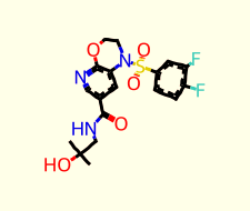 CC(C)(O)CNC(=O)c1cnc2c(c1)N(S(=O)(=O)c1ccc(F)c(F)c1)CCO2